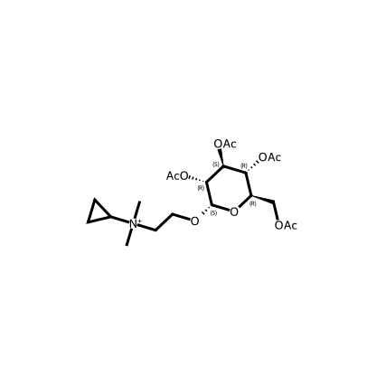 CC(=O)OC[C@H]1O[C@H](OCC[N+](C)(C)C2CC2)[C@H](OC(C)=O)[C@@H](OC(C)=O)[C@@H]1OC(C)=O